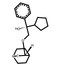 O[C@](CO[C@H]1CN2CCC1CC2)(c1ccccc1)C1CCCC1